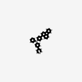 c1ccc(N(c2ccc(-c3ccncc3)cc2)c2ccc(-c3ccc4c5c(cccc35)-c3ccccc3-4)cc2)cc1